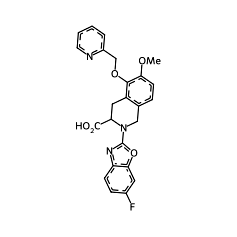 COc1ccc2c(c1OCc1ccccn1)CC(C(=O)O)N(c1nc3ccc(F)cc3o1)C2